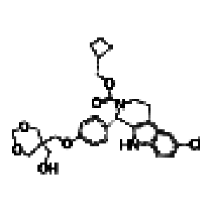 O=C(OCC1CCC1)N1CCc2c([nH]c3ccc(Cl)cc23)[C@@H]1c1ccc(OCC2(CO)COCOC2)cc1